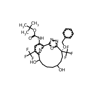 CC(C)(C)OC(=O)Nc1cc(C(F)(F)F)c2nc1-c1nnc(o1)[C@@](OCc1ccccc1)(C(F)(F)F)CCC(O)CCCC2O